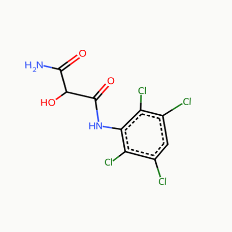 NC(=O)C(O)C(=O)Nc1c(Cl)c(Cl)cc(Cl)c1Cl